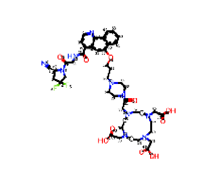 N#C[C@@H]1CC(F)(F)CN1C(=O)CNC(=O)c1ccnc2c1cc(OCCCN1CCN(C(=O)CN3CCN(CC(=O)O)CCN(CC(=O)O)CCN(CC(=O)O)CC3)CC1)c1ccccc12